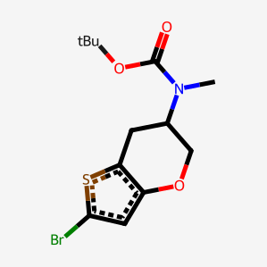 CN(C(=O)OC(C)(C)C)C1COc2cc(Br)sc2C1